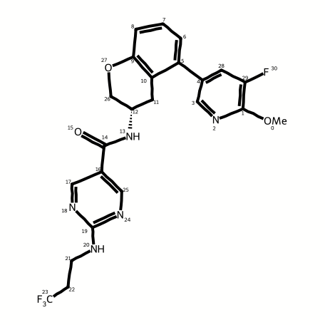 COc1ncc(-c2cccc3c2C[C@H](NC(=O)c2cnc(NCCC(F)(F)F)nc2)CO3)cc1F